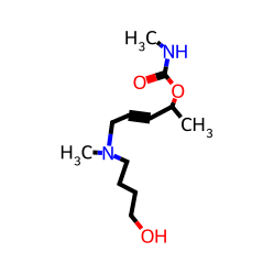 CNC(=O)OC(C)C#CCN(C)CCCCO